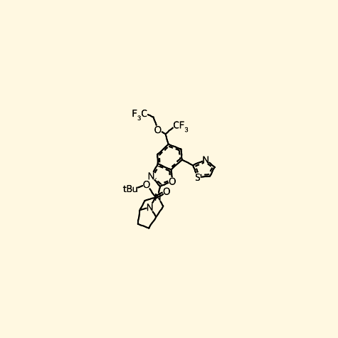 CC(C)(C)OC(=O)N1C2CCC1CN(c1nc3cc(C(OCC(F)(F)F)C(F)(F)F)cc(-c4nccs4)c3o1)C2